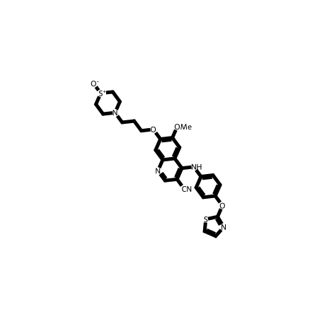 COc1cc2c(Nc3ccc(Oc4nccs4)cc3)c(C#N)cnc2cc1OCCCN1CC[S+]([O-])CC1